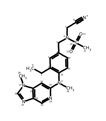 CCc1cc(CN(CC#N)S(C)(=O)=O)ccc1N(C)c1cc2c(cn1)ncn2C